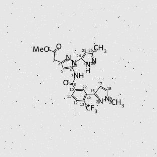 COC(=O)Cc1cc(NC(=O)c2ccc(C(F)(F)F)c(-c3ccn(C)n3)c2)n(-c2cc(C)n[nH]2)n1